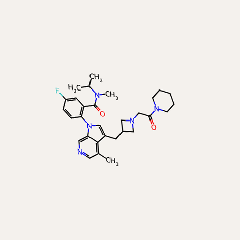 Cc1cncc2c1c(CC1CN(CC(=O)N3CCCCC3)C1)cn2-c1ccc(F)cc1C(=O)N(C)C(C)C